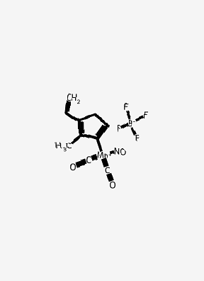 C=CC1=C(C)[C]([Mn+](=[C]=O)(=[C]=O)[N]=O)=CC1.F[B-](F)(F)F